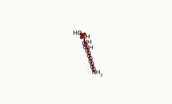 NCCOCCOCCOCCOCCOCCOCCOCCOCCNC(=O)COCC(=O)NCCCCCNC(c1ccccc1)(c1ccccc1)c1ccc(O)cc1